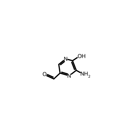 Nc1nc(C=O)cnc1O